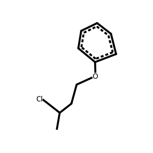 CC(Cl)CCOc1ccccc1